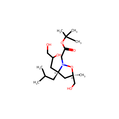 CC(C)C[C@]1(CC(O)CO)C[C@](C)(CO)ON1CC(=O)OC(C)(C)C